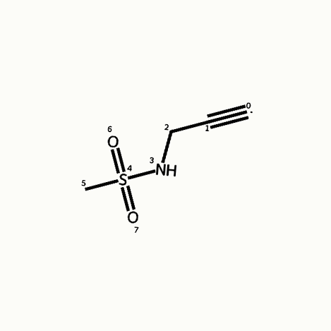 [C]#CCNS(C)(=O)=O